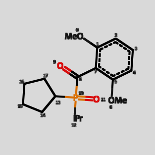 COc1cccc(OC)c1C(=O)P(=O)(C(C)C)C1CCCC1